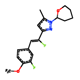 Cc1cc(C(F)=Cc2ccc(OC(F)(F)F)c(F)c2)nn1C1CCCCO1